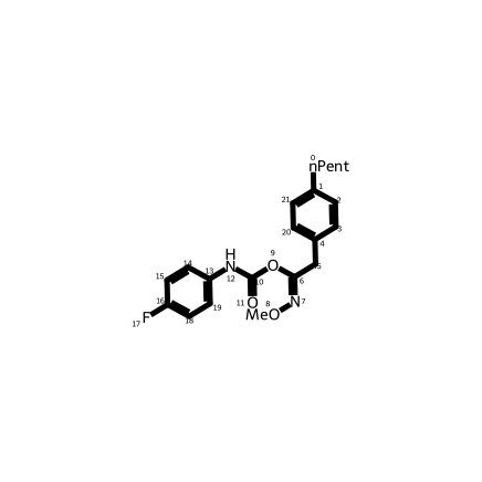 CCCCCc1ccc([CH]C(=NOC)OC(=O)Nc2ccc(F)cc2)cc1